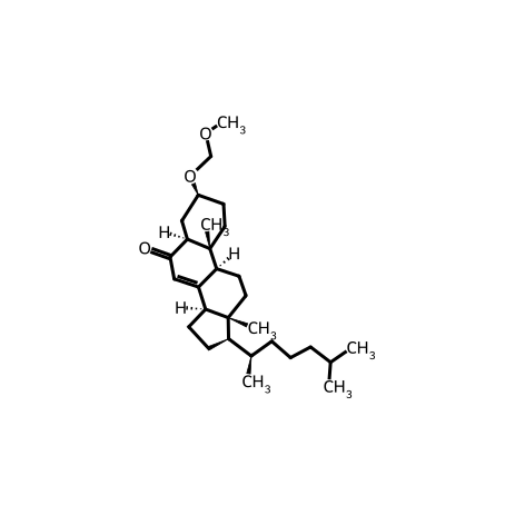 COCO[C@H]1CC[C@@]2(C)[C@H](C1)C(=O)C=C1[C@@H]2CC[C@]2(C)[C@@H]([C@H](C)CCCC(C)C)CC[C@@H]12